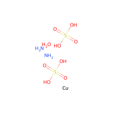 N.N.O.O=S(=O)(O)O.O=S(=O)(O)O.[Cu]